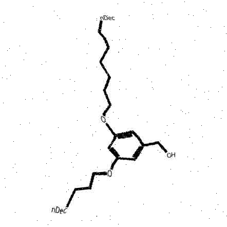 CCCCCCCCCCCCCCCCOc1cc(CO)cc(OCCCCCCCCCCCCC)c1